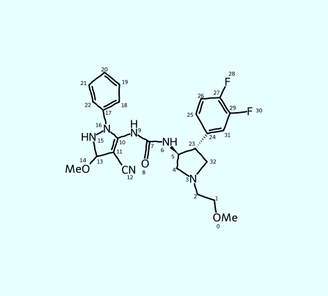 COCCN1C[C@@H](NC(=O)NC2=C(C#N)C(OC)NN2c2ccccc2)[C@H](c2ccc(F)c(F)c2)C1